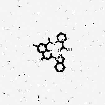 Cc1cc(C(C)Nc2ccccc2C(=O)O)c2oc(-n3ncc4ccccc43)cc(=O)c2c1